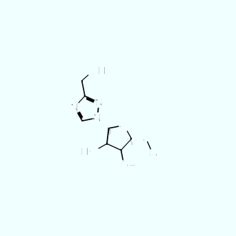 OCc1ncn([C@@H]2O[C@H](CO)C(O)C2O)n1